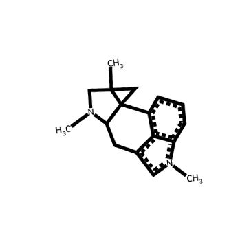 CN1CC2(C)CC23c2cccc4c2c(cn4C)CC13